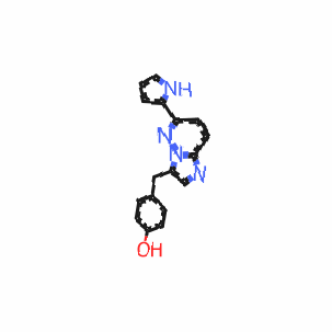 Oc1ccc(Cc2cnc3ccc(-c4ccc[nH]4)nn23)cc1